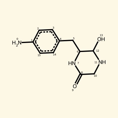 Nc1ccc(CC2NC(=O)CNC2O)cc1